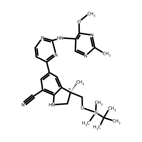 COc1nc(C)ncc1Nc1nccc(-c2cc(C#N)c3c(c2)[C@@](C)(CO[Si](C)(C)C(C)(C)C)CN3)n1